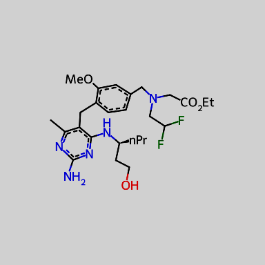 CCC[C@@H](CCO)Nc1nc(N)nc(C)c1Cc1ccc(CN(CC(=O)OCC)CC(F)F)cc1OC